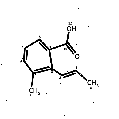 CC=Cc1c(C)cccc1C(=O)O